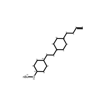 C=CCCC1CCC(CCC2CCC(OCCCC)CC2)CC1